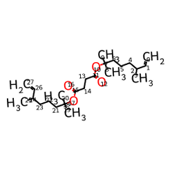 C=CC(C)CCCC(C)(C)OC(=O)CCC(=O)OC(C)(C)CCCC(C)C=C